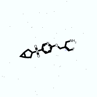 NC/C(=C\F)COc1ccc(S(=O)(=O)C2CC3CC3C2)cn1